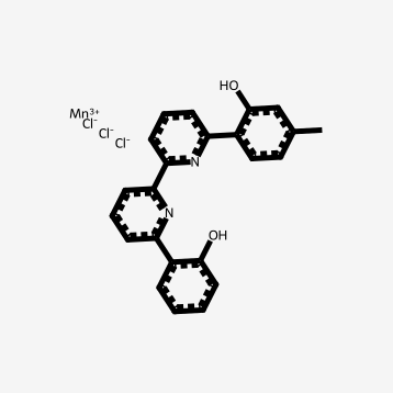 Cc1ccc(-c2cccc(-c3cccc(-c4ccccc4O)n3)n2)c(O)c1.[Cl-].[Cl-].[Cl-].[Mn+3]